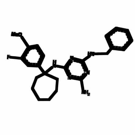 COc1ccc(C2(Nc3nc(N)nc(NCc4ccccc4)n3)CCCCCC2)cc1F